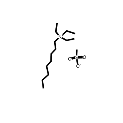 CCCCCCCC[N+](CC)(CC)CC.CS(=O)(=O)[O-]